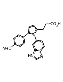 COc1ccc(-c2ccc(CCC(=O)O)n2-c2ccc3nc[nH]c3c2)cc1